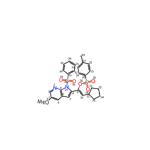 COc1cnc2c(c1)cc(C(=CC1CCCC1)OS(=O)(=O)c1ccc(C)cc1)n2S(=O)(=O)c1ccccc1